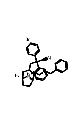 C[N+]1(CCOCc2ccccc2)C2CC[C@H]1CC(CC(C#N)(c1ccccc1)c1ccccc1)C2.[Br-]